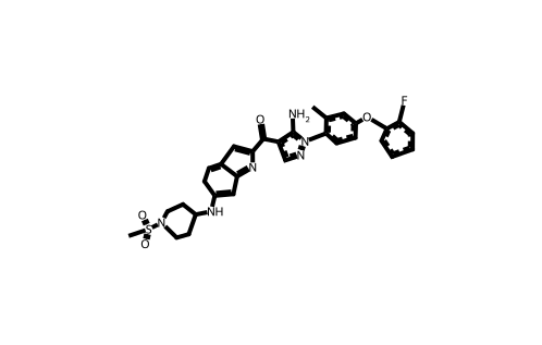 Cc1cc(Oc2ccccc2F)ccc1-n1ncc(C(=O)C2=CC3=CCC(NC4CCN(S(C)(=O)=O)CC4)=CC3=N2)c1N